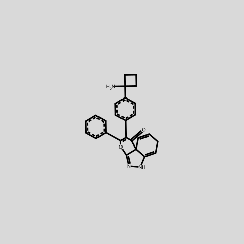 NC1(c2ccc(C3=C(c4ccccc4)OC4=NNC5=CCC=CC54C3=O)cc2)CCC1